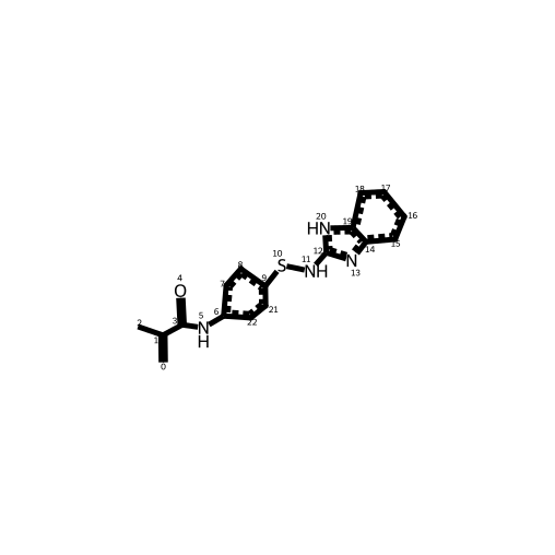 C=C(C)C(=O)Nc1ccc(SNc2nc3ccccc3[nH]2)cc1